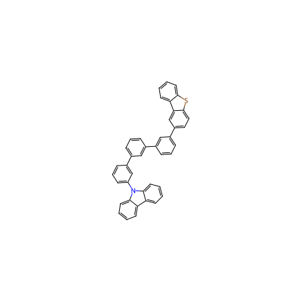 c1cc(-c2cccc(-c3ccc4sc5ccccc5c4c3)c2)cc(-c2cccc(-n3c4ccccc4c4ccccc43)c2)c1